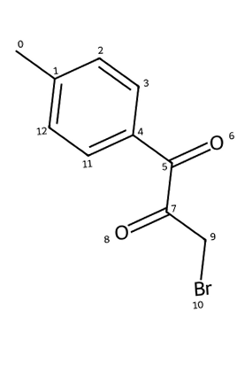 Cc1ccc(C(=O)C(=O)CBr)cc1